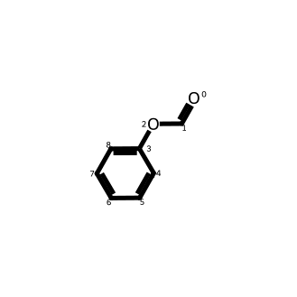 O=COc1[c]cccc1